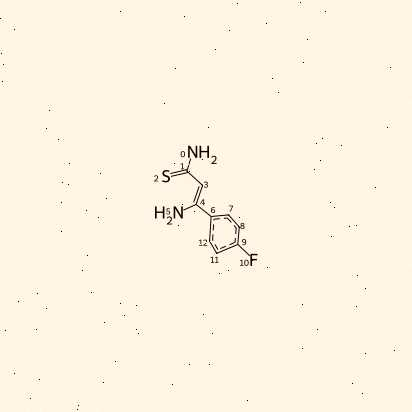 NC(=S)C=C(N)c1ccc(F)cc1